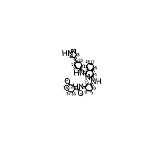 O=C1CC(C(=O)Nc2cccc(Nc3cc4ccccc4c(Nc4ccc(-c5cn[nH]c5)cc4)n3)c2)CCO1